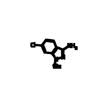 CC(C)(C)n1nc(N)c2ccc(Cl)cc21